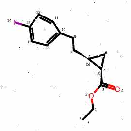 CCOC(=O)[C@@H]1C[C@@H]1CCc1ccc(I)cc1